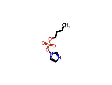 CCCCOS(=O)(=O)On1ccnc1